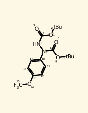 CC(C)(C)OC(=O)NN(C(=O)OC(C)(C)C)c1ccc(OC(F)(F)F)cc1